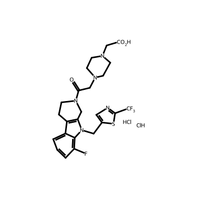 Cl.Cl.O=C(O)CN1CCN(CC(=O)N2CCc3c(n(Cc4cnc(C(F)(F)F)s4)c4c(F)cccc34)C2)CC1